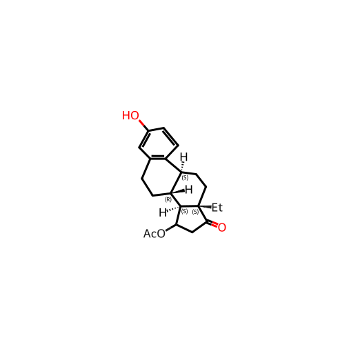 CC[C@]12CC[C@@H]3c4ccc(O)cc4CC[C@H]3[C@@H]1C(OC(C)=O)CC2=O